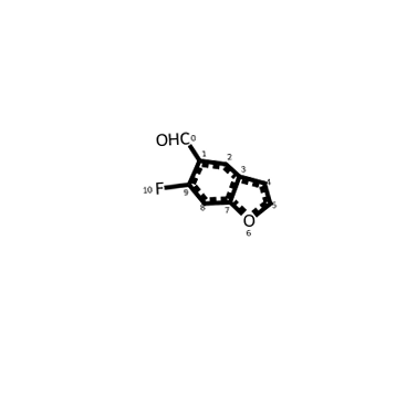 O=Cc1cc2ccoc2cc1F